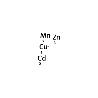 [Cd].[Cu].[Mn].[Zn]